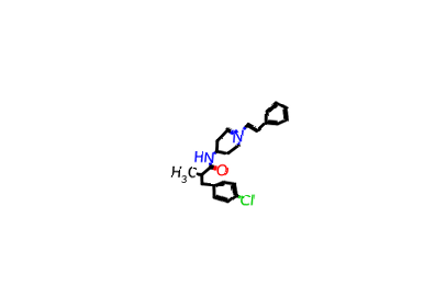 CC(Cc1ccc(Cl)cc1)C(=O)NC1CCN(CCc2ccccc2)CC1